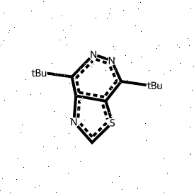 CC(C)(C)c1nnc(C(C)(C)C)c2scnc12